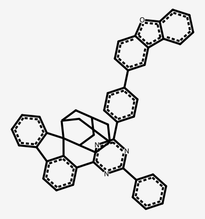 c1ccc(-c2nc(-c3ccc(-c4ccc5oc6ccccc6c5c4)cc3)nc(-c3cccc4c3C3(c5ccccc5-4)C4CC5CC(C4)CC3C5)n2)cc1